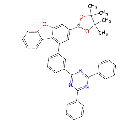 CC1(C)OB(c2cc(-c3cccc(-c4nc(-c5ccccc5)nc(-c5ccccc5)n4)c3)c3c(c2)oc2ccccc23)OC1(C)C